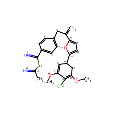 C=C(Cc1ccc(C(=N)SC(C)=N)cc1)c1ccc(C2C=C(OC)C(Cl)=C(OC)C2)o1